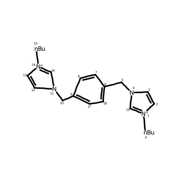 CCCC[n+]1ccn(Cc2ccc(Cn3cc[n+](CCCC)c3)cc2)c1